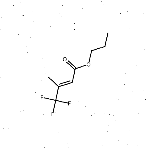 CCCOC(=O)/C=C(\C)C(F)(F)F